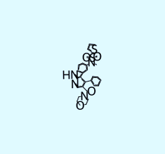 CN(c1ccc2[nH]c3ncc(C(=O)N4CCOCC4)c(-c4ccccc4)c3c2c1)S(=O)(=O)c1cccs1